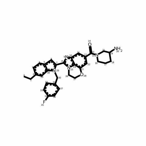 CCc1ccc2cc(-c3nc4cc(C(=O)N5CCCC(N)C5)cc5c4n3CCO5)n(Cc3ccc(F)cc3)c2c1